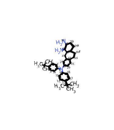 CC(C)(C)c1ccc(N(c2ccc(C(C)(C)C)cc2)c2ccc3c(c2)CC2=C(CCC(N)=C2N)CC3)cc1